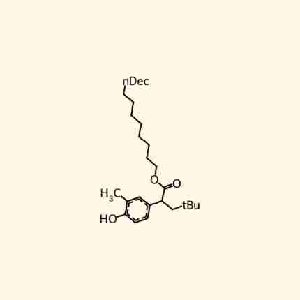 CCCCCCCCCCCCCCCCCCOC(=O)C(CC(C)(C)C)c1ccc(O)c(C)c1